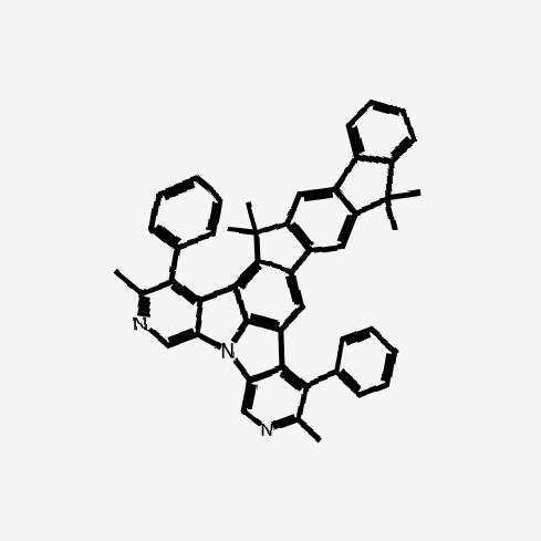 Cc1ncc2c(c1-c1ccccc1)c1cc3c(c4c5c(-c6ccccc6)c(C)ncc5n2c14)C(C)(C)c1cc2c(cc1-3)C(C)(C)c1ccccc1-2